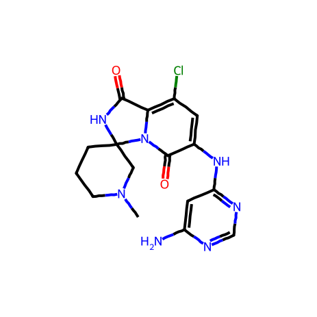 CN1CCCC2(C1)NC(=O)c1c(Cl)cc(Nc3cc(N)ncn3)c(=O)n12